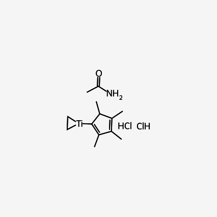 CC(N)=O.CC1=C(C)C(C)[C]([Ti]2[CH2][CH2]2)=C1C.Cl.Cl